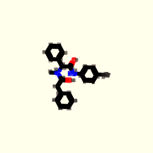 CC(C)c1ccc(NC(=O)[C@H](c2ccccc2)N(C)C(=O)Cc2ccccc2)cc1